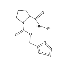 CC(C)NC(=O)C1CCCN1C(=O)OCc1nccs1